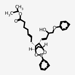 CC(C)OC(=O)CCCC=CC[C@@H]1[C@H](C=CC(O)COc2ccccc2)[C@H]2C[C@H]1OB(c1ccccc1)O2